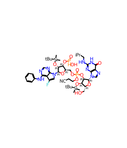 CC(C)CNc1nc2c(ncn2[C@@H]2O[C@H](CO)[C@@H](O[Si](C)(C)C(C)(C)C)[C@H]2OP(=O)(OCCC#N)OC[C@H]2O[C@@H](n3cc(F)c4c(Nc5ccccc5)ncnc43)[C@H](O[Si](C)(C)C(C)(C)C)[C@@H]2O[PH](=O)O)c(=O)[nH]1